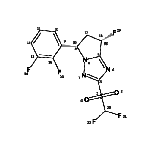 O=S(=O)(c1nc2n(n1)[C@H](c1cccc(F)c1F)C[C@@H]2F)C(F)F